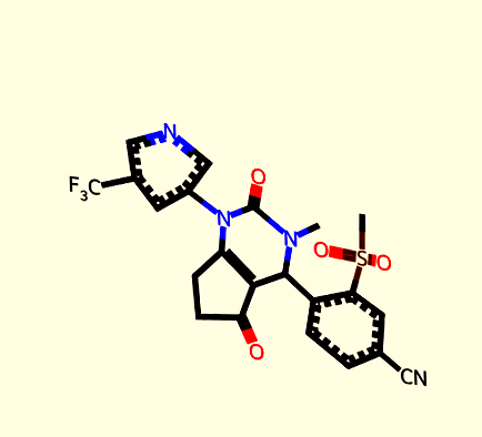 CN1C(=O)N(c2cncc(C(F)(F)F)c2)C2=C(C(=O)CC2)C1c1ccc(C#N)cc1S(C)(=O)=O